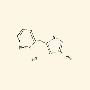 Cc1csc(-c2cccnc2)n1.Cl